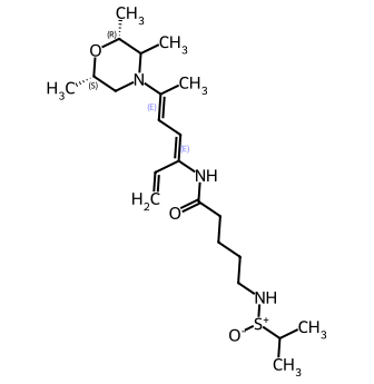 C=C/C(=C\C=C(/C)N1C[C@H](C)O[C@H](C)C1C)NC(=O)CCCCN[S+]([O-])C(C)C